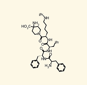 CC(C)C[C@@H](NC(=O)[C@@H](Cc1ccccc1)NC(=O)[C@H](N)Cc1ccccc1)C(=O)N[C@H](CCCCNC(C)C)C(=O)N1CCC(N)(C(=O)O)CC1